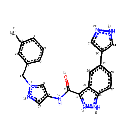 N#Cc1cccc(Cn2cc(NC(=O)c3n[nH]c4ccc(-c5cn[nH]c5)cc34)cn2)c1